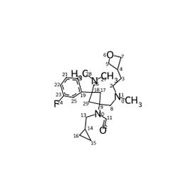 CN(CCC1COC1)CC1(N(C=O)CC2CC2)CC(c2cccc(F)c2)(N(C)C)C1